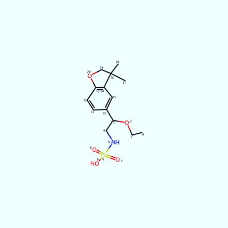 CCOC(CNS(=O)(=O)O)c1ccc2c(c1)C(C)(C)CO2